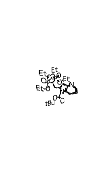 CCOP(=O)(OCC)C(Cc1cc2ncccc2n1C(=O)OC(C)(C)C)P(=O)(OCC)OCC